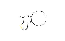 Cc1cc2c(c3ccsc13)CCCCCCCC2